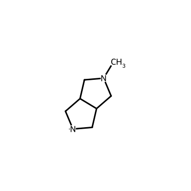 CN1CC2C[N]CC2C1